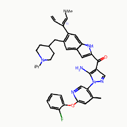 C=C/C(=C\NC)c1cc2[nH]c(C(=O)c3cnn(-c4cnc(Oc5ccccc5F)cc4C)c3N)cc2cc1CC1CCN(C(C)C)CC1